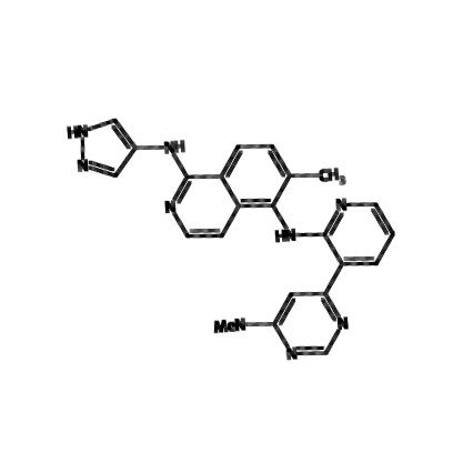 CNc1cc(-c2cccnc2Nc2c(C)ccc3c(Nc4cn[nH]c4)nccc23)ncn1